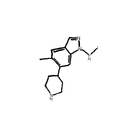 Cc1cc2cnn(PI)c2cc1C1CCNCC1